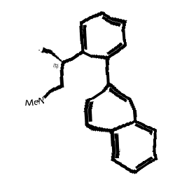 [CH2][C@H](CNC)c1ccccc1-c1ccc2ccccc2c1